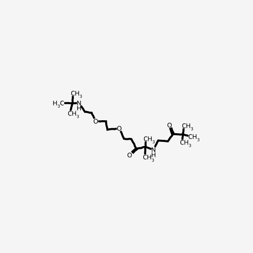 CC(C)(C)NCCOCCOCCC(=O)C(C)(C)NCCC(=O)C(C)(C)C